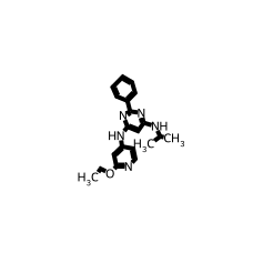 CCOc1cc(Nc2cc(NC(C)C)nc(-c3ccccc3)n2)ccn1